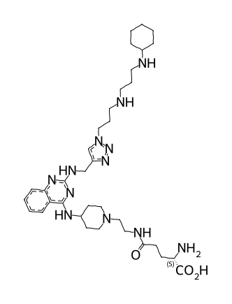 N[C@@H](CCC(=O)NCCN1CCC(Nc2nc(NCc3cn(CCCNCCCNC4CCCCC4)nn3)nc3ccccc23)CC1)C(=O)O